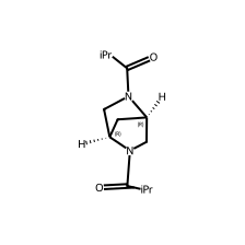 CC(C)C(=O)N1C[C@H]2C[C@@H]1CN2C(=O)C(C)C